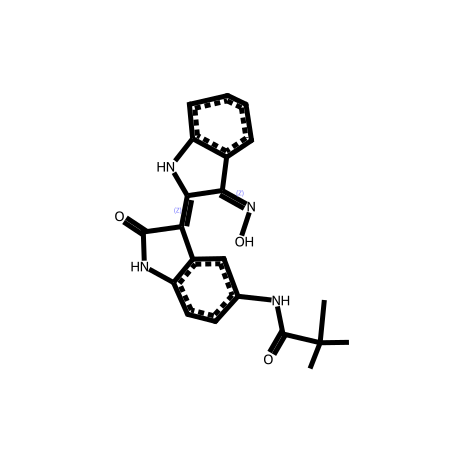 CC(C)(C)C(=O)Nc1ccc2c(c1)/C(=C1/Nc3ccccc3/C1=N/O)C(=O)N2